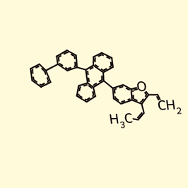 C=Cc1oc2cc(-c3c4ccccc4c(-c4cccc(-c5ccccc5)c4)c4ccccc34)ccc2c1/C=C\C